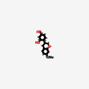 COc1ccc2c(c1)OCC(c1ccc(O)cc1O)C2